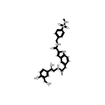 CNS(=O)(=O)c1ccc(CNC(=O)c2cc3cc(C[C@@H](C)NC[C@H](O)c4ccc(O)c(CO)c4)ccc3[nH]2)cc1